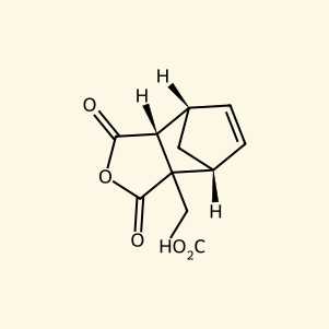 O=C(O)CC12C(=O)OC(=O)[C@@H]1[C@@H]1C=C[C@H]2C1